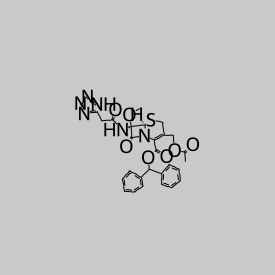 CO[C@@]1(NC(=O)Cc2nnn[nH]2)C(=O)N2C(C(=O)OC(c3ccccc3)c3ccccc3)=C(COC(C)=O)CS[C@@H]21